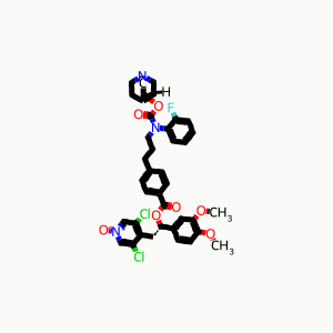 COc1ccc([C@H](Cc2c(Cl)c[n+]([O-])cc2Cl)OC(=O)c2ccc(CCCN(C(=O)O[C@H]3CN4CCC3CC4)c3ccccc3F)cc2)cc1OC